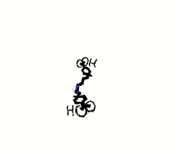 CC1(C/C=C\CCCC2(C)CCC(C(=O)O)CC2)CCC(C(=O)O)CC1